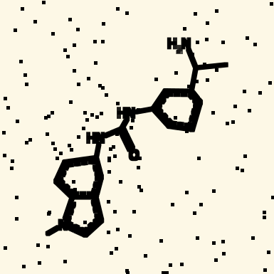 CC(N)c1cccc(NC(=O)Nc2ccc3c(ccn3C)c2)c1